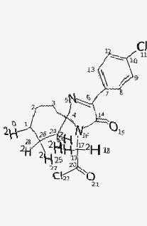 [2H]C1CCC2(N=C(c3ccc(Cl)cc3)C(=O)N2C([2H])([2H])C(=O)Cl)C([2H])([2H])C1([2H])[2H]